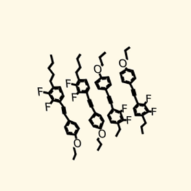 CCCCCc1ccc(C#Cc2ccc(OCCC)cc2)c(F)c1F.CCCCc1ccc(C#Cc2ccc(OCCC)cc2)c(F)c1F.CCCOc1ccc(C#Cc2ccc(CC)c(F)c2F)cc1.CCCOc1ccc(C#Cc2ccc(CCC)c(F)c2F)cc1